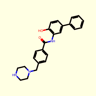 O=C(Nc1cc(-c2ccccc2)ccc1O)c1ccc(CN2CCNCC2)cc1